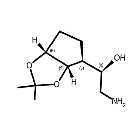 CC1(C)O[C@H]2[C@H]([C@@H](O)CN)CC[C@H]2O1